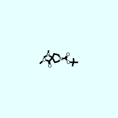 COC(=O)C1(N(C)C)CCN(C(=O)OC(C)(C)C)CC1